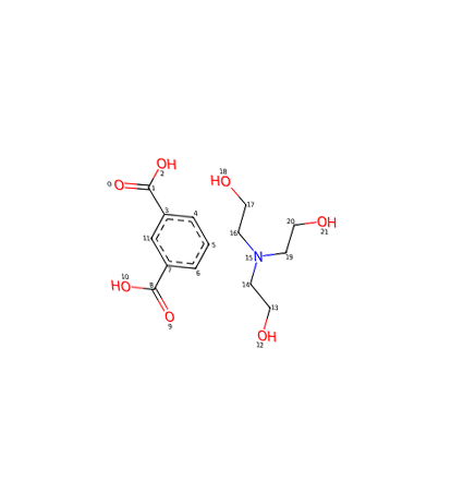 O=C(O)c1cccc(C(=O)O)c1.OCCN(CCO)CCO